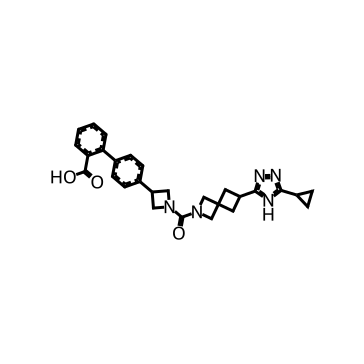 O=C(O)c1ccccc1-c1ccc(C2CN(C(=O)N3CC4(CC(c5nnc(C6CC6)[nH]5)C4)C3)C2)cc1